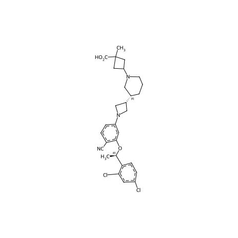 C[C@@H](Oc1cc(N2CC([C@H]3CCCN(C4CC(C)(C(=O)O)C4)C3)C2)ccc1C#N)c1ccc(Cl)cc1Cl